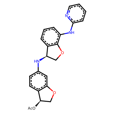 CC(=O)O[C@@H]1COc2cc(N[C@@H]3COc4c(Nc5ccccn5)cccc43)ccc21